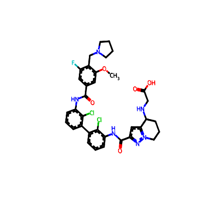 COc1cc(C(=O)Nc2cccc(-c3cccc(NC(=O)c4cc5n(n4)CCCC5NCC(=O)O)c3Cl)c2Cl)cc(F)c1CN1CCCC1